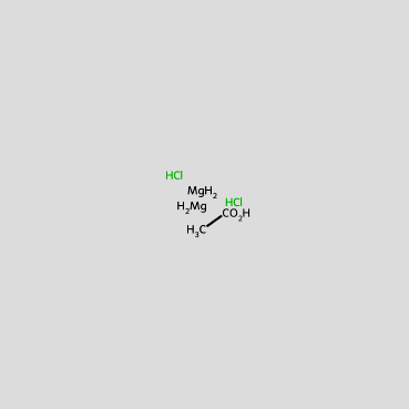 CC(=O)O.Cl.Cl.[MgH2].[MgH2]